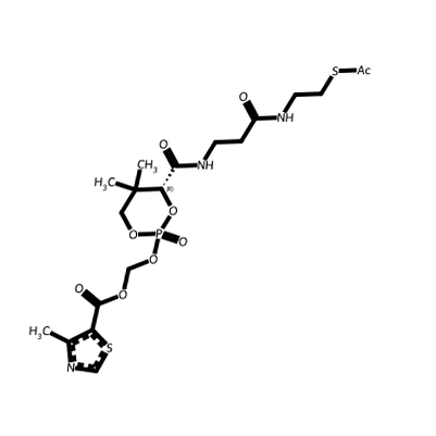 CC(=O)SCCNC(=O)CCNC(=O)[C@@H]1OP(=O)(OCOC(=O)c2scnc2C)OCC1(C)C